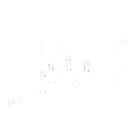 COCc1ccc(C)c(CNC(=O)Nc2c(C)c(OCCO)nn2-c2ccccc2)c1